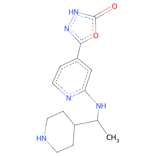 CC(Nc1cc(-c2n[nH]c(=O)o2)ccn1)C1CCNCC1